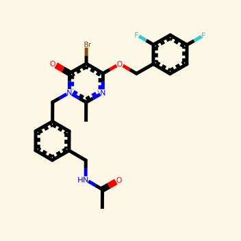 CC(=O)NCc1cccc(Cn2c(C)nc(OCc3ccc(F)cc3F)c(Br)c2=O)c1